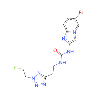 O=C(NCCc1nnn(CCF)n1)Nc1cn2cc(Br)ccc2n1